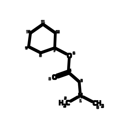 CN(C)CC(=O)OC1CCCCC1